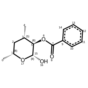 C[C@@H]1C[C@H](C)[C@@H](OC(=O)c2ccccc2)[C@H](O)O1